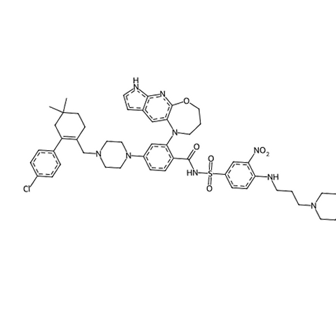 CC1(C)CCC(CN2CCN(c3ccc(C(=O)NS(=O)(=O)c4ccc(NCCCN5CCOCC5)c([N+](=O)[O-])c4)c(N4CCCOc5nc6[nH]ccc6cc54)c3)CC2)=C(c2ccc(Cl)cc2)C1